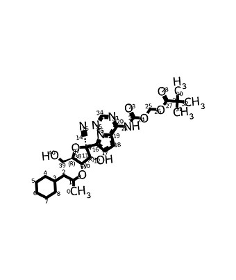 CC(CC1CCCCC1)O[C@H]1[C@@H](O)[C@](C#N)(c2ccc3c(NC(=O)OCOC(=O)C(C)(C)C)ncnn23)O[C@@H]1CO